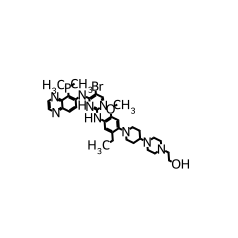 CCc1cc(Nc2ncc(Br)c(Nc3ccc4nccnc4c3P(C)C)n2)c(OC)cc1N1CCC(N2CCN(CCO)CC2)CC1